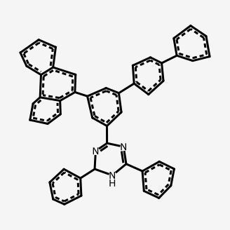 c1ccc(C2=NC(c3cc(-c4ccc(-c5ccccc5)cc4)cc(-c4cc5ccccc5c5ccccc45)c3)=NC(c3ccccc3)N2)cc1